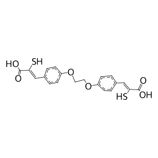 O=C(O)C(S)=Cc1ccc(OCCOc2ccc(C=C(S)C(=O)O)cc2)cc1